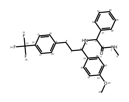 CNC(=O)C(NC(CCc1ccc(C(F)(F)F)cc1)c1ccc(OC)cc1)c1ccccc1